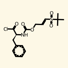 CC(C)(C)S(=O)(=O)C=CCOC(=O)N[C@@H](Cc1ccccc1)C(=O)Cl